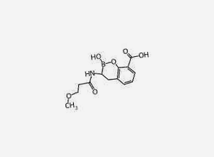 COCCC(=O)NC1Cc2cccc(C(=O)O)c2OB1O